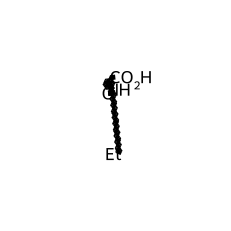 CC/C=C/C/C=C/C/C=C/C/C=C/C/C=C/C/C=C/CCC(=O)Nc1cccc(CC(=O)O)c1